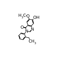 CCc1ccccc1-n1cnc2cc(O)c(OC)cc2c1=O